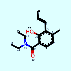 CC=Cc1c(C)ccc(C(=O)N(CC)CC)c1O